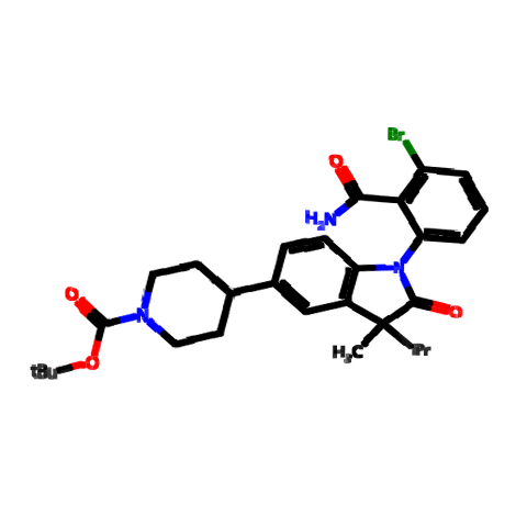 CC(C)C1(C)C(=O)N(c2cccc(Br)c2C(N)=O)c2ccc(C3CCN(C(=O)OC(C)(C)C)CC3)cc21